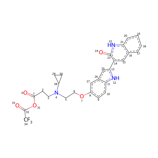 O=C(CCN(CCOc1ccc2[nH]c(-c3cc4ccccc4[nH]c3=O)cc2c1)C1CC1)OC(=O)C(F)(F)F